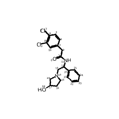 O=C(Cc1ccc(Cl)c(Cl)c1)NC(CN1CCC(O)C1)c1ccccc1